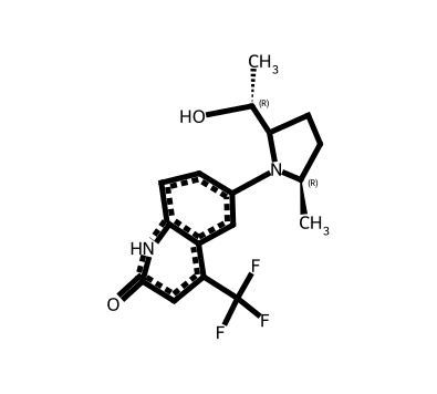 C[C@@H]1CCC([C@@H](C)O)N1c1ccc2[nH]c(=O)cc(C(F)(F)F)c2c1